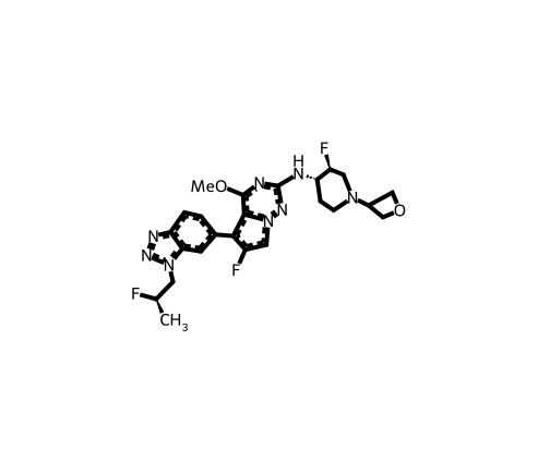 COc1nc(N[C@H]2CCN(C3COC3)C[C@@H]2F)nn2cc(F)c(-c3ccc4nnn(C[C@@H](C)F)c4c3)c12